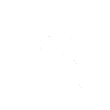 O=P(O)(O)OP(=O)(O)OP(=O)(O)OCC1OC(n2ccc3ncsc3c2=S)C[C@H]1O